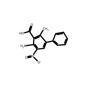 Cc1c(-c2ccccc2)cc([N+](=O)[O-])c(N)c1C(=O)O